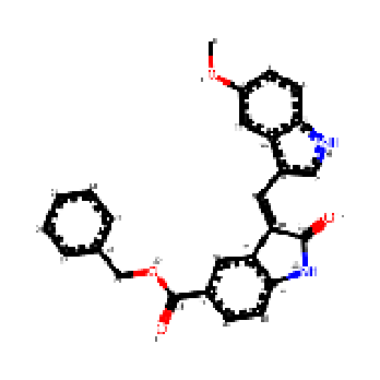 COc1ccc2[nH]cc(C=C3C(=O)Nc4ccc(C(=O)OCc5ccccc5)cc43)c2c1